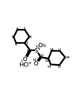 Cl.O=C(C1CCCCC1)[S+]([O-])C(=O)C1CCCCC1